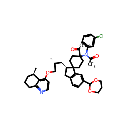 COC(=O)C1(N(C(=O)C(F)(F)F)c2cccc(Cl)c2)CCC2(CC1)c1cc(C3OCCCO3)ccc1C[C@@H]2C[C@@H](C)COc1ccnc2c1[C@H](C)CCC2